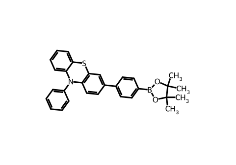 CC1(C)OB(c2ccc(-c3ccc4c(c3)Sc3ccccc3N4c3ccccc3)cc2)OC1(C)C